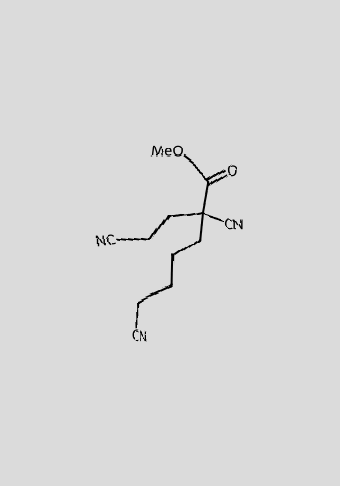 COC(=O)C(C#N)(CCC#N)CCCCC#N